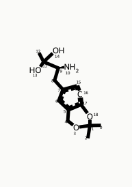 CC1(C)OCc2cc(C[C@H](N)C(C)(O)O)ccc2O1